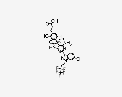 C[C@]1(c2ccc(CCC(=O)O)c(O)c2)C(=O)Nc2nc(-c3nn(CCC(F)(F)C(F)(F)F)c4cc(Cl)ccc34)nc(N)c21